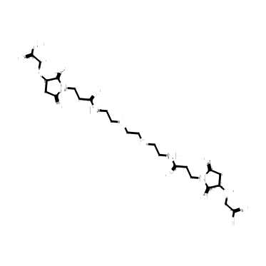 CC(C)C(=O)CSC1CC(=O)N(CCC(=O)NCCOCCOCCNC(=O)CCN2C(=O)CC(SCC(=O)C(C)(C)C)C2=O)C1=O